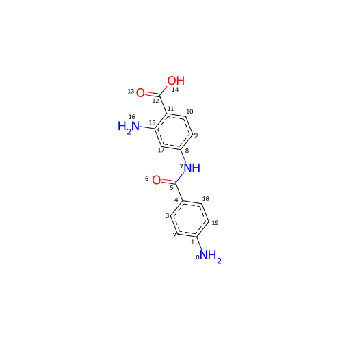 Nc1ccc(C(=O)Nc2ccc(C(=O)O)c(N)c2)cc1